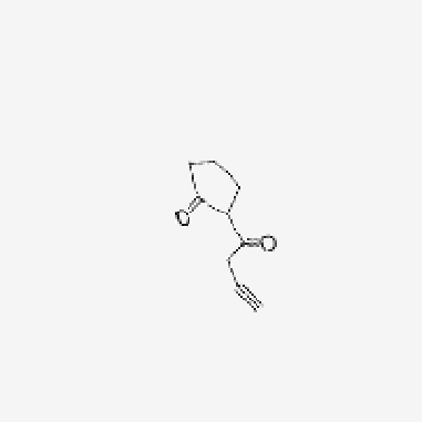 C#CCC(=O)C1CCCC1=O